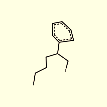 ICCCC(CI)c1ccccc1